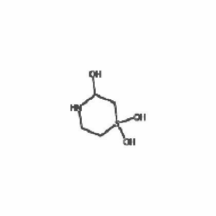 OC1[CH]S(O)(O)CCN1